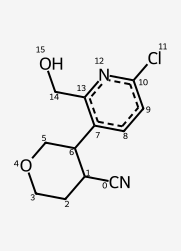 N#CC1CCOCC1c1ccc(Cl)nc1CO